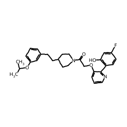 CC(C)Oc1cccc(CCC2CCN(C(=O)COc3cccnc3-c3ccc(F)cc3O)CC2)c1